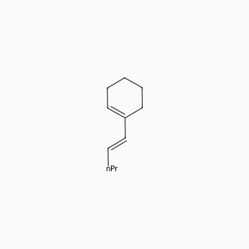 CCCC=CC1=CCCCC1